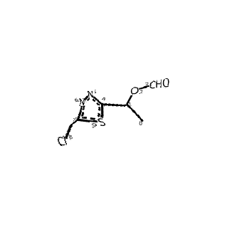 CC(OC=O)c1nnc(Cl)s1